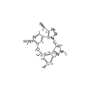 C[C@H]1Oc2cc(cnc2N)-c2c(C#N)nnn2Cc2cn(C)nc2-c2ccc(F)cc21